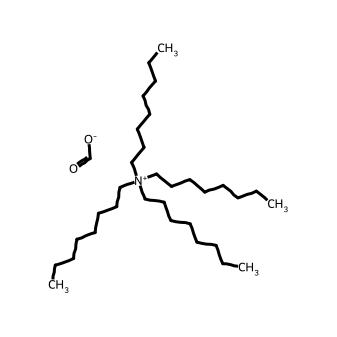 CCCCCCCC[N+](CCCCCCCC)(CCCCCCCC)CCCCCCCC.O=C[O-]